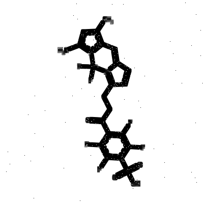 Cc1cc(C)n2c1C=C1C=CC(CCC(=O)c3c(F)c(F)c(S(=O)(=O)O)c(F)c3F)=[N+]1[B-]2(F)F